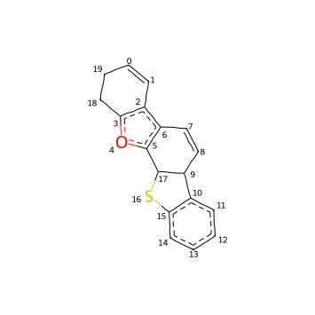 C1=Cc2c(oc3c2C=CC2c4ccccc4SC32)CC1